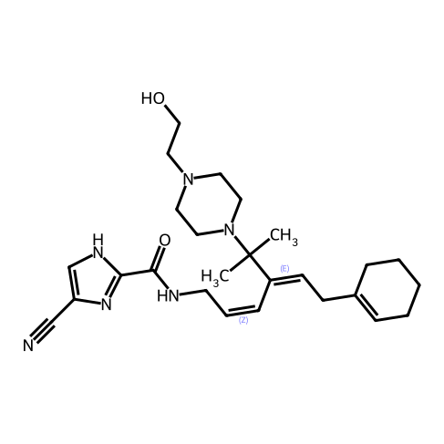 CC(C)(C(/C=C\CNC(=O)c1nc(C#N)c[nH]1)=C/CC1=CCCCC1)N1CCN(CCO)CC1